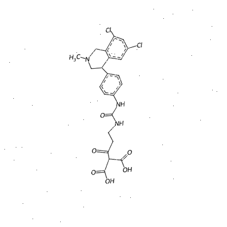 CN1Cc2c(Cl)cc(Cl)cc2C(c2ccc(NC(=O)NCCC(=O)C(C(=O)O)C(=O)O)cc2)C1